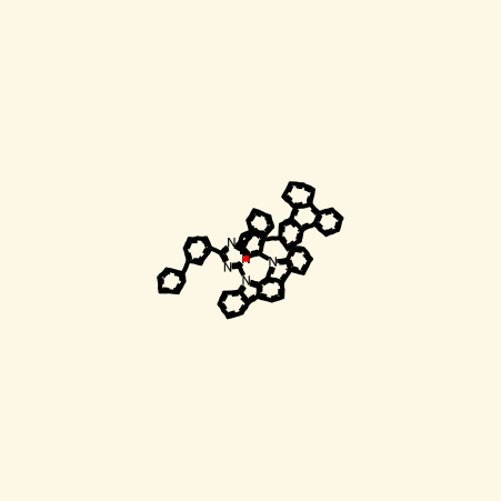 c1ccc(-c2cccc(-c3nc(-c4ccccc4)nc(-n4c5ccccc5c5ccc6c7ccccc7n(-c7ccccc7-c7ccc8c9ccccc9c9ccccc9c8c7)c6c54)n3)c2)cc1